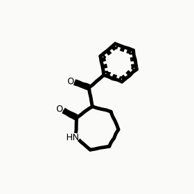 O=C1NCCCCC1C(=O)c1ccccc1